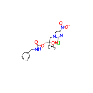 CC(O)(COC(=O)NCc1ccccc1)Cn1cc([N+](=O)[O-])nc1Cl